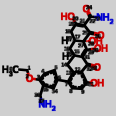 CCOc1ccc(-c2ccc(O)c3c2C[C@H]2C[C@H]4CC(O)=C(C(N)=O)C(=O)[C@@]4(O)C(O)=C2C3=O)cc1CN